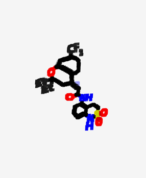 CCC1(CC)C/C(=C\C(=O)Nc2cccc3c2CCS(=O)(=O)N3)c2ccc(C(F)(F)F)cc2O1